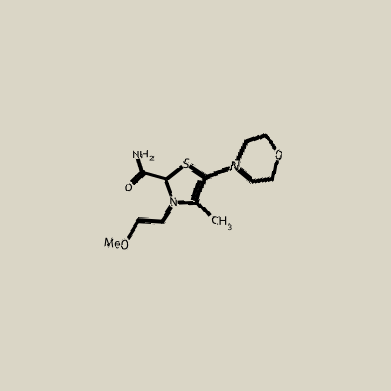 COCCN1C(C)=C(N2CCOCC2)SC1C(N)=O